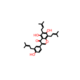 CC(C)=CCc1cc(-c2coc3c(CC=C(C)C)c(O)c(CC=C(C)C)c(O)c3c2=O)ccc1O